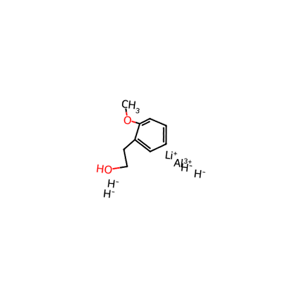 COc1ccccc1CCO.[Al+3].[H-].[H-].[H-].[H-].[Li+]